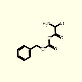 CCC(N)C(=O)OC(=O)OCc1ccccc1